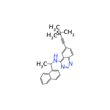 CC(Nc1ncnc2ccc(C#C[Si](C)(C)C)cc12)c1cccc2ccccc12